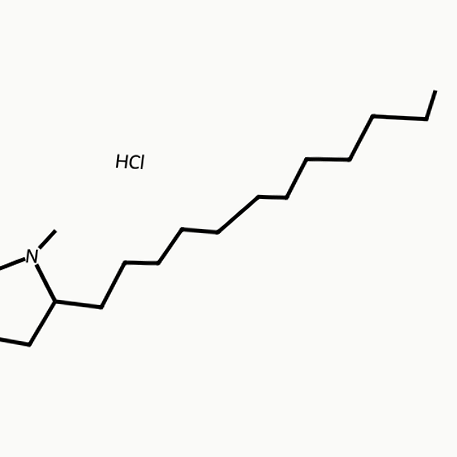 CCCCCCCCCCCCC(CCO)N(C)C.Cl